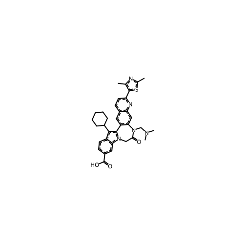 Cc1nc(C)c(-c2ccc3cc4c(cc3n2)N(CN(C)C)C(=O)Cn2c-4c(C3CCCCC3)c3ccc(C(=O)O)cc32)s1